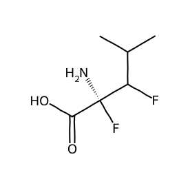 CC(C)C(F)[C@@](N)(F)C(=O)O